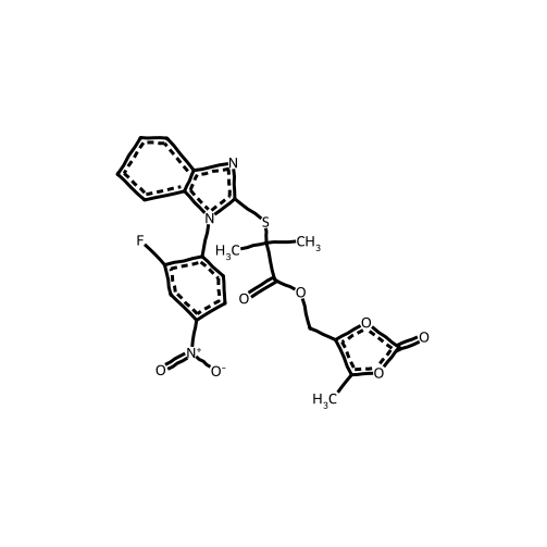 Cc1oc(=O)oc1COC(=O)C(C)(C)Sc1nc2ccccc2n1-c1ccc([N+](=O)[O-])cc1F